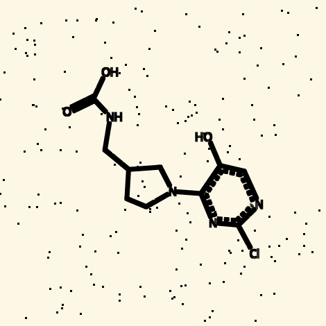 O=C(O)NCC1CCN(c2nc(Cl)ncc2O)C1